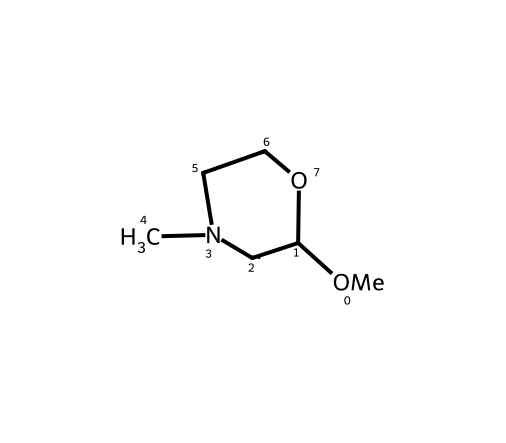 COC1[CH]N(C)CCO1